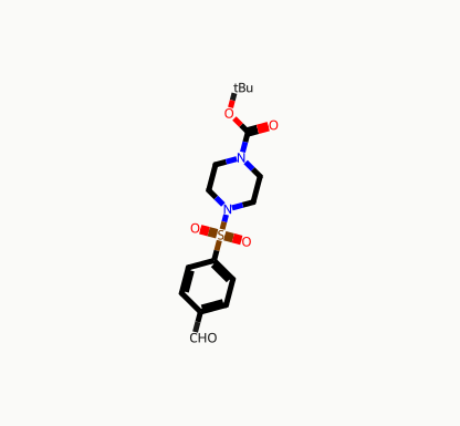 CC(C)(C)OC(=O)N1CCN(S(=O)(=O)c2ccc(C=O)cc2)CC1